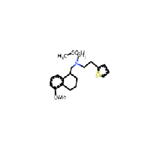 COc1cccc2c1CCCC2CN(C)CCc1cccs1.CS(=O)(=O)O